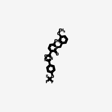 COc1cccc(Cn2c(C)ccc(-c3nc(-c4ccc(OC(F)(F)F)cc4)no3)c2=O)c1